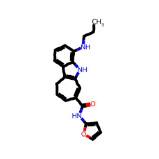 CCCNc1cccc2c3c([nH]c12)C=C(C(=O)Nc1ccco1)C=CC3